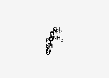 CCN(C)[C@@H]1CCN(c2cc(F)c(-c3cnc(N4CCOCC4)nc3)cc2N)C1